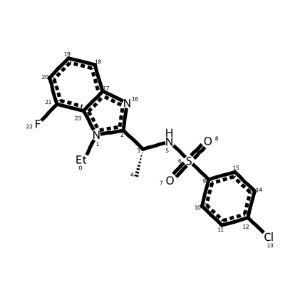 CCn1c([C@@H](C)NS(=O)(=O)c2ccc(Cl)cc2)nc2cccc(F)c21